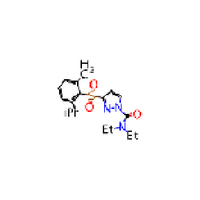 CCN(CC)C(=O)n1ccc(S(=O)(=O)c2c(C)cccc2C(C)C)n1